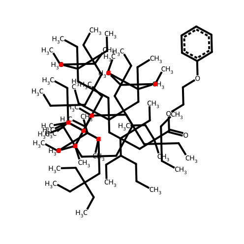 CCCC(CC)CC(CC)(CC(CC)(CC)CC)CC(CC(CC)(CC)CC)(CC(CC(CC)(CC)CC)(CC(CC)(CC)CC)CC(CC)(CC)CC)CC(CC(CC(CC)(CC)CC)(CC(CC)(CC)CC)CC(CC)(CC)CC)(CC(CC(CC)(CC)CC)(CC(CC)(CC)CC)CC(CC)(CC)CC)CC(C)(CC)C(=O)OCCOc1ccccc1